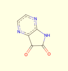 O=C1Nc2nccnc2C1=O